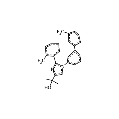 CC(C)(O)c1cn(-c2cccc(-c3cccc(C(F)(F)F)c3)c2)c(-c2ccccc2C(F)(F)F)n1